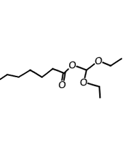 CCCCCCC(=O)OC(OCC)OCC